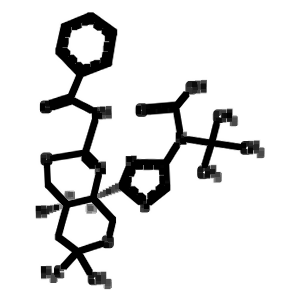 CC1(C)C[C@H]2COC(NC(=O)c3ccccc3)=N[C@@]2(c2nc(N(C(=O)O)C(C)(C)C)cs2)CO1